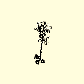 C[C@H]1c2ccc(NC(=O)CCCCCCCCCCC[P+](c3ccccc3)(c3ccccc3)c3cnn(C)c3)c(O)c2C(=O)C2=C(O)[C@]3(O)C(=O)C(C(N)=O)=C(O)[C@@H](N(C)C)[C@@H]3[C@@H](O)[C@@H]21.[Cl-]